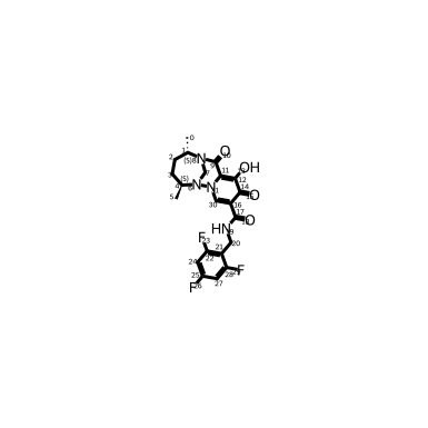 C[C@H]1CC[C@H](C)N2CN1C(=O)c1c(O)c(=O)c(C(=O)NCc3c(F)cc(F)cc3F)cn12